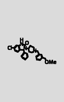 COCc1cccc(CN2CCC(N3C(=O)Nc4cc(Cl)ccc4C3c3ccccc3)CC2)c1